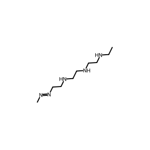 CCNCCNCCNCCN=NC